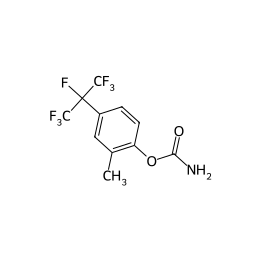 Cc1cc(C(F)(C(F)(F)F)C(F)(F)F)ccc1OC(N)=O